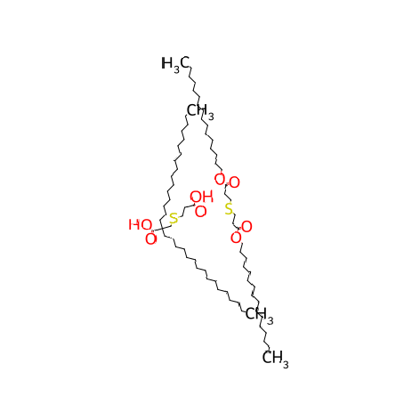 CCCCCCCCCCCCCCCCC(CCCCCCCCCCCCCCCC)(CSCCC(=O)O)C(=O)O.CCCCCCCCCCCCCCCCOC(=O)CCSCCC(=O)OCCCCCCCCCCCCCCCC